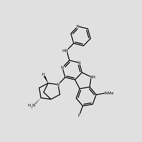 CNc1cc(F)cc2c1[nH]c1nc(Nc3cccnc3)nc(N3CC4C[C@@H]3C[C@H]4N)c12